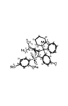 COc1ccccc1C1(N2CCCC[C@H]2C(=O)N(C)C)C(=O)N(S(=O)(=O)c2ccc(SC)cc2SC)c2ccc(Cl)cc21